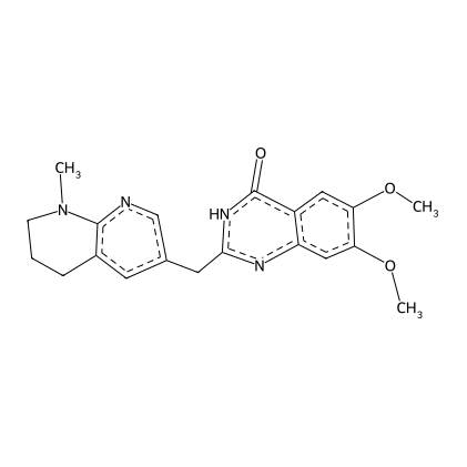 COc1cc2nc(Cc3cnc4c(c3)CCCN4C)[nH]c(=O)c2cc1OC